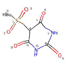 CCCCS(=O)(=O)C1C(=O)NC(=O)NC1=O